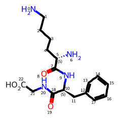 NCCCC[C@H](N)C(=O)N[C@@H](Cc1ccccc1)C(=O)NCC(=O)O